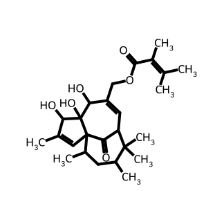 CC1=CC23C(=O)C(C=C(COC(=O)C(C)=C(C)C)C(O)C2(O)C1O)C(C)(C)C(C)CC3C